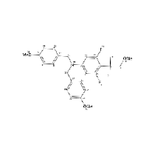 COCC(C)(C)c1c(F)cc(N(Cc2ccc(OC)cc2)Cc2ccc(OC)cc2)cc1F